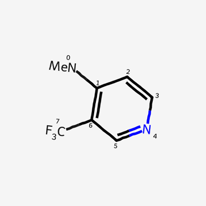 CNc1ccncc1C(F)(F)F